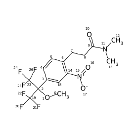 COC(c1ccc(CCC(=O)N(C)C)c([N+](=O)[O-])c1)(C(F)(F)F)C(F)(F)F